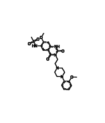 COc1cc2[nH]c(=O)n(CCN3CCN(c4ccccc4OC)CC3)c(=O)c2cc1NS(C)(=O)=O